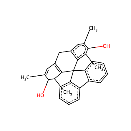 CC1=CC2=C(C(C)C1O)C1(c3ccccc3-c3ccccc31)c1c(cc(C)c(O)c1C)C2